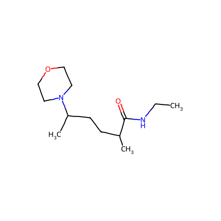 CCNC(=O)C(C)CCC(C)N1CCOCC1